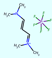 CN(C)C=CC=[N+](C)C.F[P-](F)(F)(F)(F)F